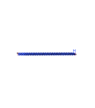 CB=NN=NN=NN=NN=NN=NN=NN=NN=NN=NN=NN=NN=NN=NN=NN=NN=NN=NN=NN=NN=NN=NN=NN=NN=NN=NN=NN=NN=NN=NN=NN=NNI